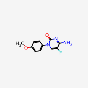 COc1ccc(-n2cc(F)c(N)nc2=O)cc1